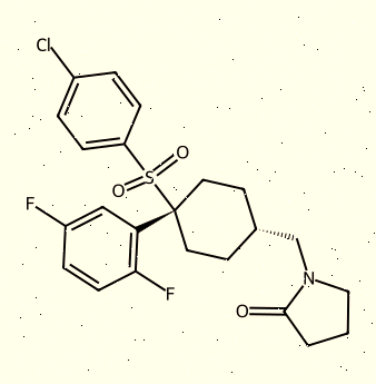 O=C1CCCN1C[C@H]1CC[C@@](c2cc(F)ccc2F)(S(=O)(=O)c2ccc(Cl)cc2)CC1